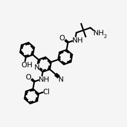 CC(C)(CN)CNC(=O)c1cccc(-c2cc(-c3ccccc3O)nc(NC(=O)c3ccccc3Cl)c2C#N)c1